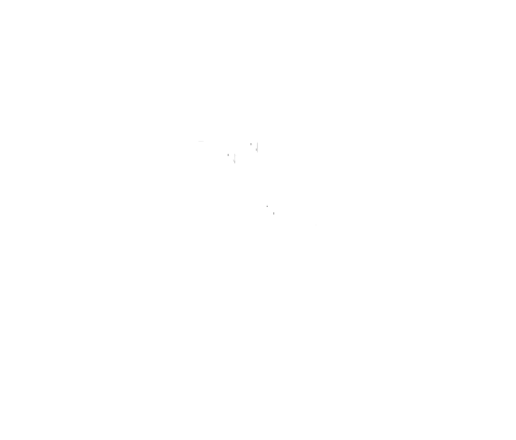 CCn1cc(N(Cc2ccccc2)C2CC2)cn1